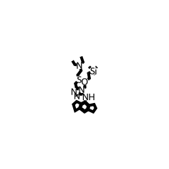 CCN(CC)CCSCc1nnc(Nc2c3c(cc4c2CCC4)CCC3)n1COCC[Si](C)(C)C